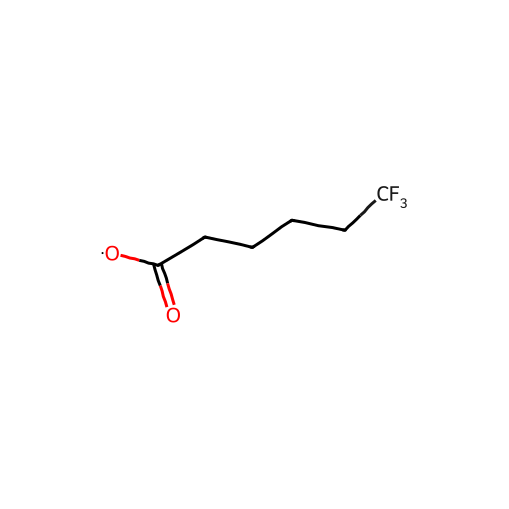 [O]C(=O)CCCCC(F)(F)F